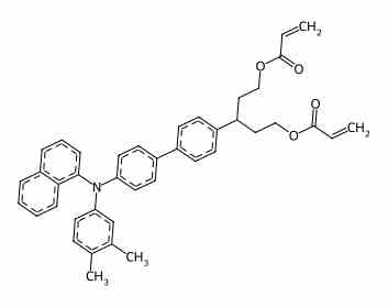 C=CC(=O)OCCC(CCOC(=O)C=C)c1ccc(-c2ccc(N(c3ccc(C)c(C)c3)c3cccc4ccccc34)cc2)cc1